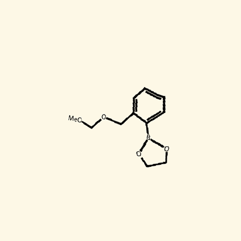 COCOCc1ccccc1B1OCCO1